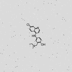 CCN(C)Cc1cc(Nc2ccnc3cc(Cl)ccc23)ccc1O